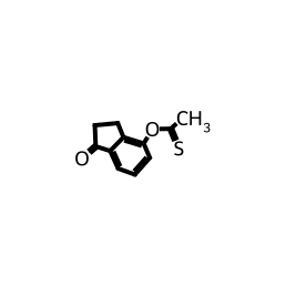 CC(=S)Oc1cccc2c1CCC2=O